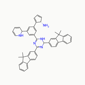 CC1(C)c2ccccc2-c2ccc(C3=NC(c4ccc5c(c4)C(C)(C)c4ccccc4-5)NC(c4cc(C5=CC=C[C@@H]5N)cc(C5C=CC=CN5)c4)=N3)cc21